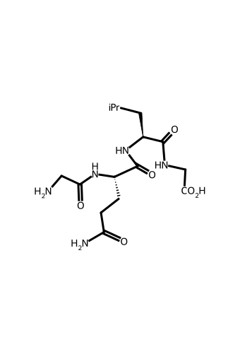 CC(C)C[C@H](NC(=O)[C@H](CCC(N)=O)NC(=O)CN)C(=O)NCC(=O)O